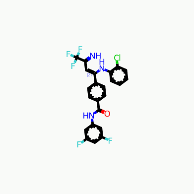 N=C(/C=C(\Nc1ccccc1Cl)c1ccc(C(=O)Nc2cc(F)cc(F)c2)cc1)C(F)(F)F